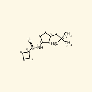 CC(C)(C)CC1CCC(NC(=O)N2CCC2)C1